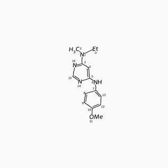 CCN(C)c1cc(Nc2ccc(OC)cc2)ncn1